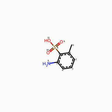 Cc1cccc(N)c1S(=O)(=O)O